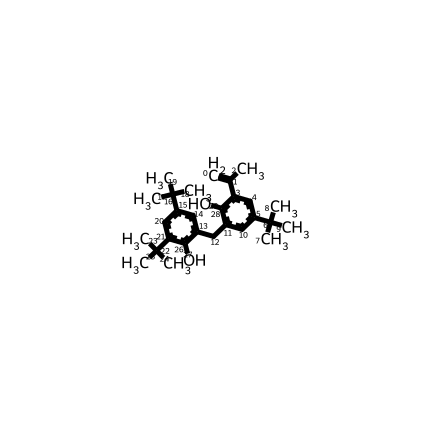 C=C(C)c1cc(C(C)(C)C)cc(Cc2cc(C(C)(C)C)cc(C(C)(C)C)c2O)c1O